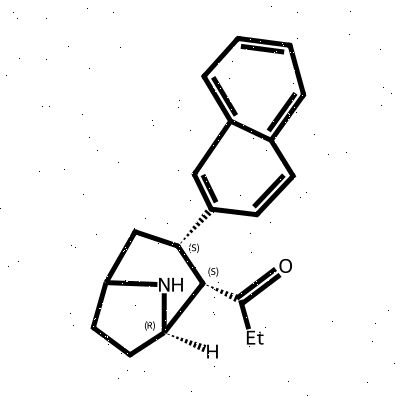 CCC(=O)[C@H]1[C@@H](c2ccc3ccccc3c2)CC2CC[C@H]1N2